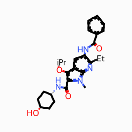 CCc1nc2c(cc1NC(=O)c1ccccc1)c(OC(C)C)c(C(=O)N[C@H]1CC[C@H](O)CC1)n2C